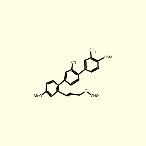 COc1ccc(-c2ccc(-c3ccc(OC)c(C)c3)c(C#N)c2)c(/C=C/COC=O)c1